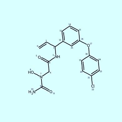 C=CC(NC(=O)CN(O)C(N)=O)c1cccc(Oc2ccc(Cl)cc2)c1